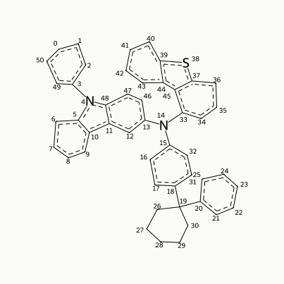 c1ccc(-n2c3ccccc3c3cc(N(c4ccc(C5(c6ccccc6)CCCCC5)cc4)c4cccc5sc6ccccc6c45)ccc32)cc1